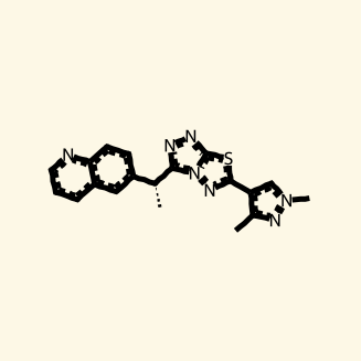 Cc1nn(C)cc1-c1nn2c([C@H](C)c3ccc4ncccc4c3)nnc2s1